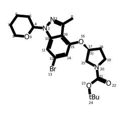 Cc1nn(C2CCCCO2)c2cc(Br)cc(O[C@H]3CCN(C(=O)OC(C)(C)C)C3)c12